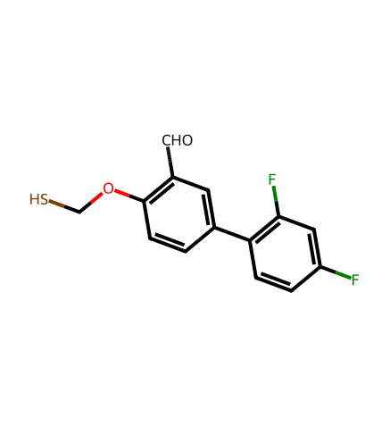 O=Cc1cc(-c2ccc(F)cc2F)ccc1OCS